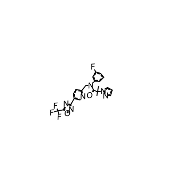 CC(C)(C(=O)N(Cc1ccc(-c2noc(C(F)(F)F)n2)cn1)c1cccc(F)c1)n1cccn1